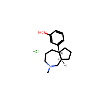 CN1CCC[C@]2(c3cccc(O)c3)CCC[C@H]2C1.Cl